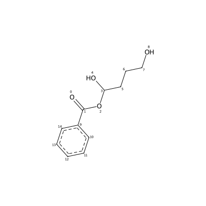 O=C(OC(O)CCCO)c1ccccc1